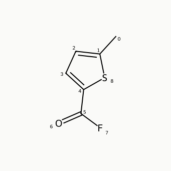 Cc1ccc(C(=O)F)s1